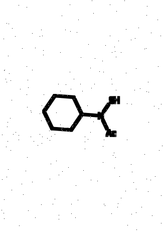 CC(=O)N(S)C1CCCCC1